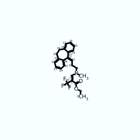 CCOC(=O)/C(=C\N(C)CCC=C1c2ccccc2CCc2ccccc21)C(F)(F)F